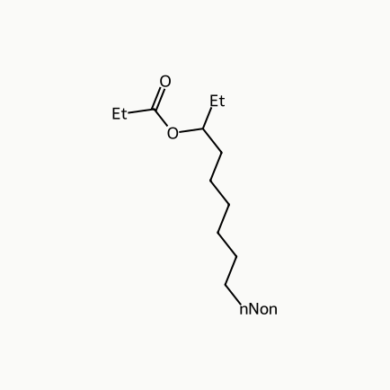 CCCCCCCCCCCCCCCC(CC)OC(=O)CC